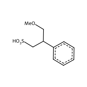 COCC(CS(=O)(=O)O)c1ccccc1